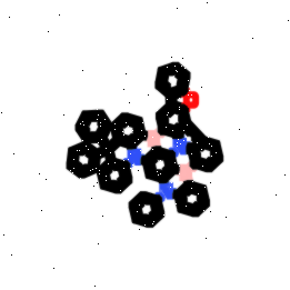 c1ccc(N2c3ccccc3B3c4c2cc2c5c4-n4c6c3cccc6c3c6oc7ccccc7c6cc(c34)B5c3cccc4c3N2c2ccccc2C4(c2ccccc2)c2ccccc2)cc1